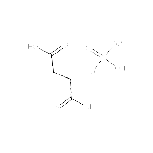 O=C(O)CCC(=O)O.O=P(O)(O)O